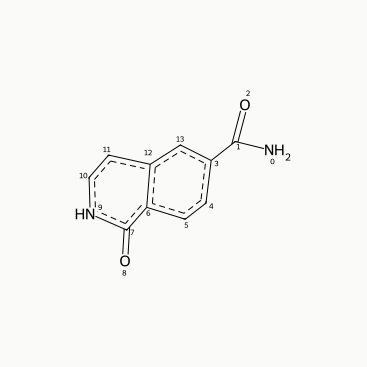 NC(=O)c1ccc2c(=O)[nH]ccc2c1